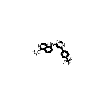 Cc1nccc2c(Nc3cc(-c4ccc(C(F)(F)F)cc4)ncn3)cccc12